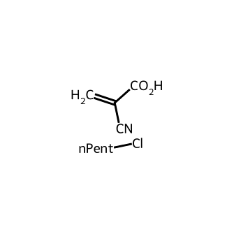 C=C(C#N)C(=O)O.CCCCCCl